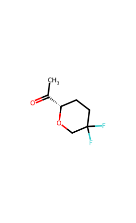 CC(=O)[C@@H]1CCC(F)(F)CO1